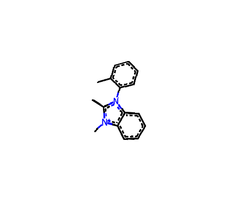 Cc1ccccc1-n1c(C)[n+](C)c2ccccc21